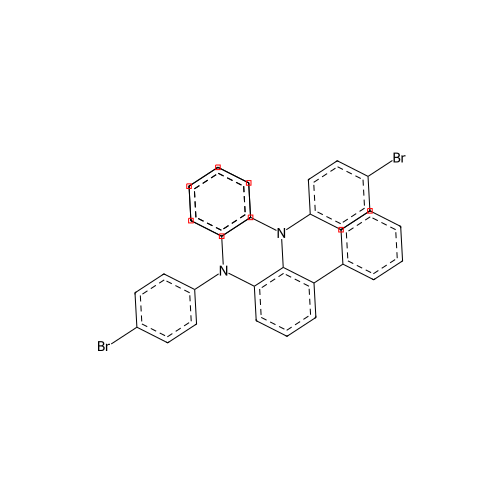 Brc1ccc(N(c2ccccc2)c2cccc(-c3ccccc3)c2N(c2ccccc2)c2ccc(Br)cc2)cc1